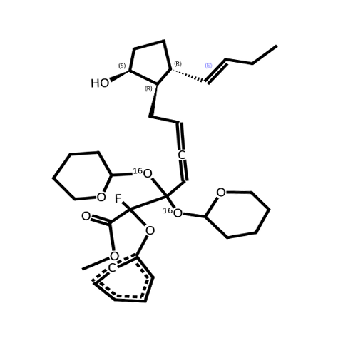 CC/C=C/[C@H]1CC[C@H](O)[C@@H]1CC=C=CC([16O]C1CCCCO1)([16O]C1CCCCO1)C(F)(Oc1ccccc1)C(=O)OC